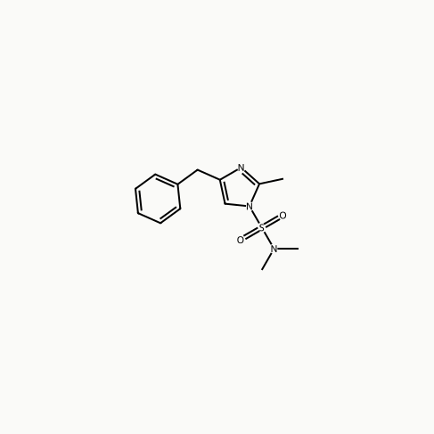 Cc1nc(Cc2ccccc2)cn1S(=O)(=O)N(C)C